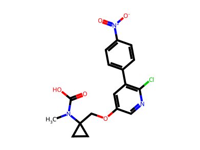 CN(C(=O)O)C1(COc2cnc(Cl)c(-c3ccc([N+](=O)[O-])cc3)c2)CC1